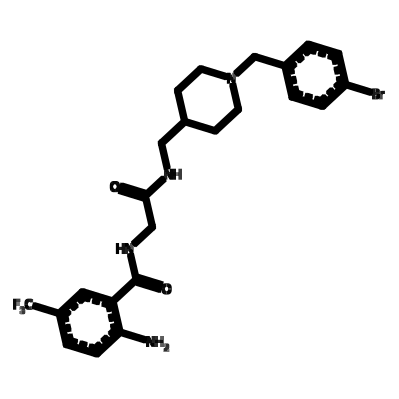 Nc1ccc(C(F)(F)F)cc1C(=O)NCC(=O)NCC1CCN(Cc2ccc(Br)cc2)CC1